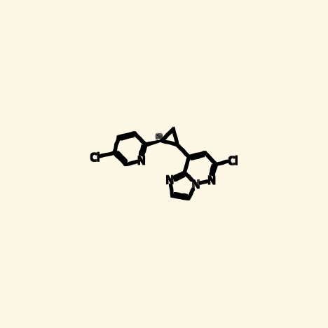 Clc1ccc([C@H]2CC2c2cc(Cl)nn3ccnc23)nc1